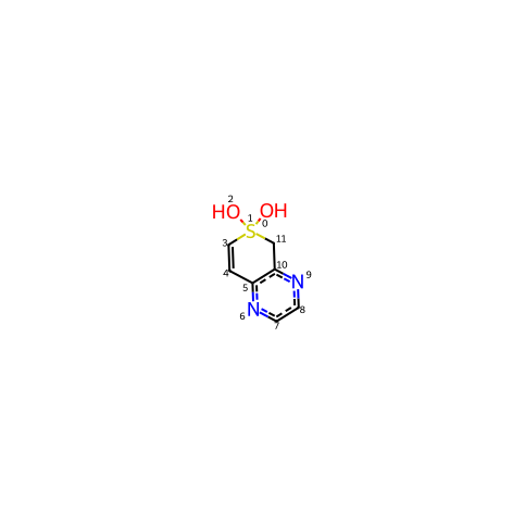 OS1(O)C=Cc2nccnc2C1